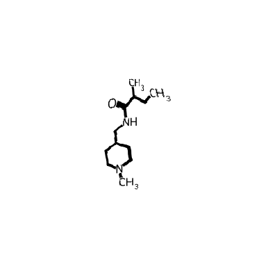 CCC(C)C(=O)NCC1CCN(C)CC1